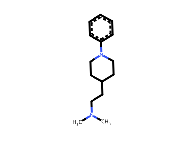 CN(C)CCC1CCN(c2ccccc2)CC1